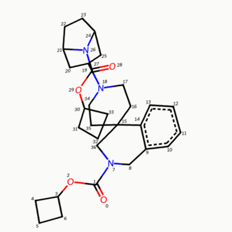 O=C(OC1CCC1)N1Cc2ccccc2C2(CCN(C3CC4CCC(C3)N4C(=O)OC3CCC3)CC2)C1